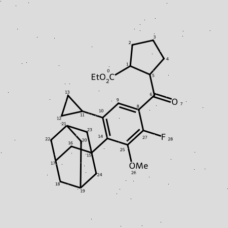 CCOC(=O)C1CCCC1C(=O)c1cc(C2CC2)c(C23CC4CC(CC(C4)C2)C3)c(OC)c1F